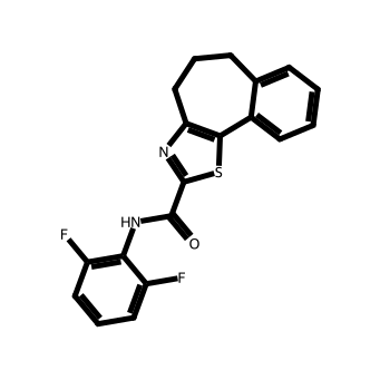 O=C(Nc1c(F)cccc1F)c1nc2c(s1)-c1ccccc1CCC2